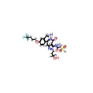 CC(C)(O)CCn1nc2c(c1NC(=O)CS(C)(=O)=O)C(=O)N[C@@]1(CCc3cc(OCCCC(F)(F)F)ccc31)C2